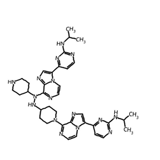 CC(C)Nc1nccc(-c2cnc3c(N4CCC(NN(c5nccn6c(-c7ccnc(NC(C)C)n7)cnc56)C5CCNCC5)CC4)nccn23)n1